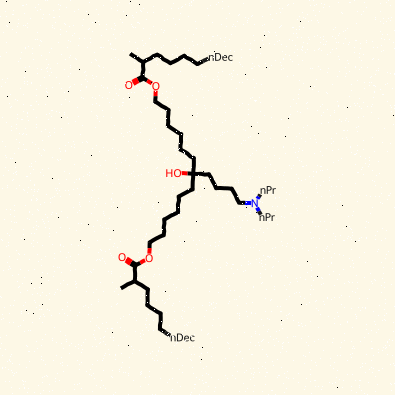 CCCCCCCCCCCCCCC(C)C(=O)OCCCCCCC(O)(CCCCCCOC(=O)C(C)CCCCCCCCCCCCCC)CCCCN(CCC)CCC